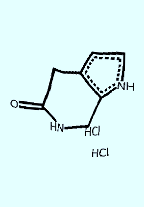 Cl.Cl.O=C1Cc2cc[nH]c2CN1